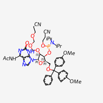 COc1ccc(C(OC[C@H]2O[C@@H](n3cnc4c(NC(C)=O)nc(=O)[nH]c43)[C@@H](OCOCOCCC#N)[C@H]2OP(OCCC#N)N(C(C)C)C(C)C)(c2ccccc2)c2ccc(OC)cc2)cc1